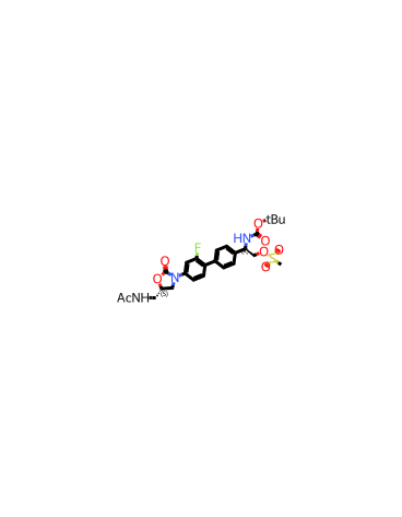 CC(=O)NC[C@H]1CN(c2ccc(-c3ccc([C@H](COS(C)(=O)=O)NC(=O)OC(C)(C)C)cc3)c(F)c2)C(=O)O1